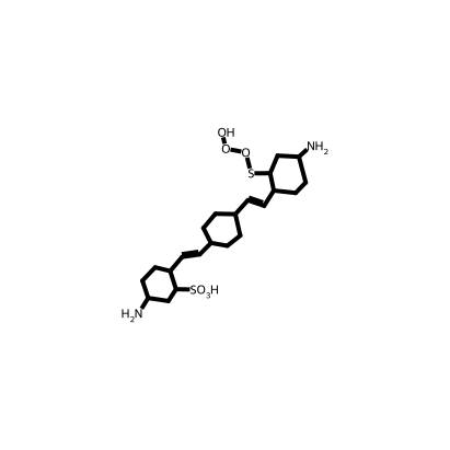 NC1CCC(C=CC2CCC(C=CC3CCC(N)CC3S(=O)(=O)O)CC2)C(SOOO)C1